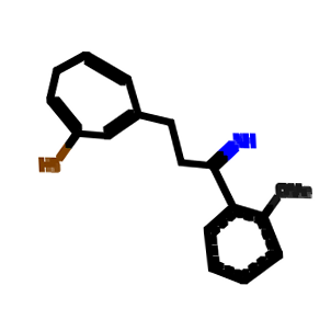 COc1ccccc1C(=N)CCC1=CC(S)=CCC=C1